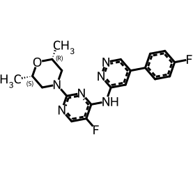 C[C@@H]1CN(c2ncc(F)c(Nc3cc(-c4ccc(F)cc4)cnn3)n2)C[C@H](C)O1